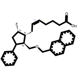 O=C(O)CCC/C=C\C[C@H]1[C@@H](F)CC(c2ccccc2)[C@@H]1COCc1ccc2ccccc2c1